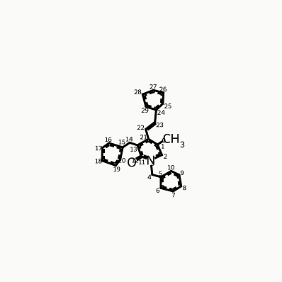 Cc1cn(Cc2ccccc2)c(=O)c(Cc2ccccc2)c1/C=C/c1ccccc1